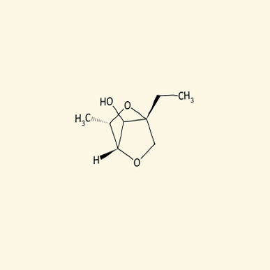 CC[C@@]12CO[C@@H](C1O)[C@H](C)O2